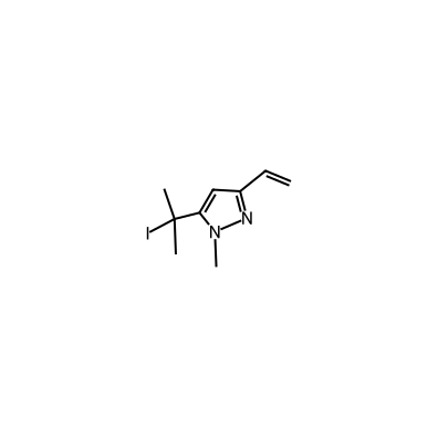 C=Cc1cc(C(C)(C)I)n(C)n1